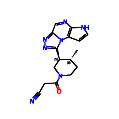 C[C@@H]1CCN(C(=O)CC#N)C[C@H]1c1nnc2cnc3[nH]ccc3n12